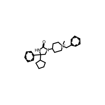 C[N+]1(Cc2ccccc2)CCC(N2CC(c3ccccc3)(C3CCCC3)NC2=O)CC1